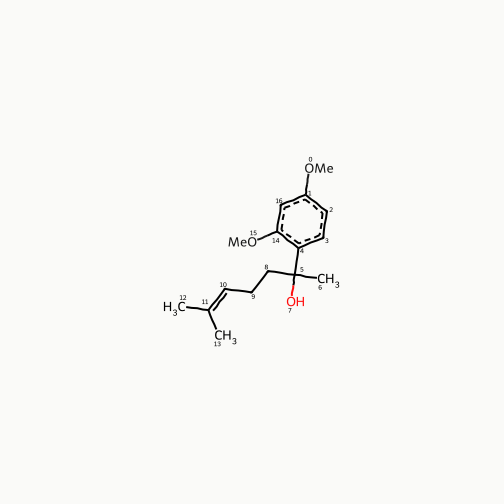 COc1ccc(C(C)(O)CCC=C(C)C)c(OC)c1